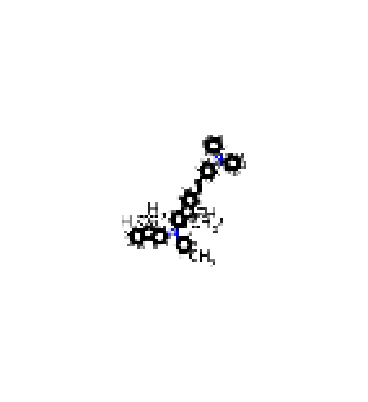 Cc1ccc(N(c2ccc3c(c2)C(C)(C)c2ccccc2-3)c2ccc3c(c2)C(C)(C)c2cc(/C=C/c4ccc(N(c5ccccc5)c5ccccc5)cc4)ccc2-3)cc1